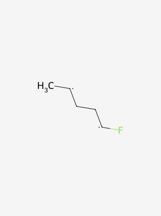 C[CH]CC[CH]F